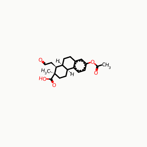 CC(=O)Oc1ccc2c(c1)CC[C@H]1[C@@H]2CC[C@@](C)(C(=O)O)[C@H]1CC=O